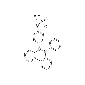 O=S(=O)(Oc1ccc(B2c3ccccc3-c3ccccc3N2c2ccccc2)cc1)C(F)(F)F